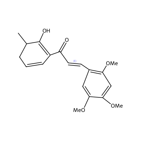 COc1cc(OC)c(OC)cc1/C=C/C(=O)C1=C(O)C(C)CC=C1